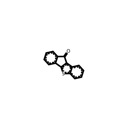 O=C1c2ccccc2-c2sc3ccccc3c21